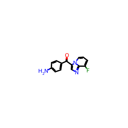 Nc1ccc(C(=O)c2cnc3c(F)cccn23)cc1